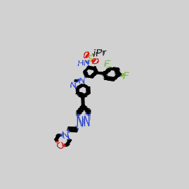 CC(C)S(=O)(=O)Nc1cc(-c2ccc(F)cc2F)cc(-n2cnc3cc(-c4cnn(CCN5CCOCC5)c4)ccc32)c1